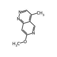 COc1cc2nncc(C)c2cn1